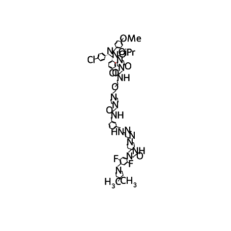 COc1ccc(C2=N[C@@H](c3ccc(Cl)cc3)[C@@H](c3ccc(Cl)cc3)N2C(=O)N2CCN(CC(=O)NCCOCCN3CCN(CC(=O)NCc4cccc(CNc5cc(N6CCC7(CC6)CN(c6cc(F)c(CN8CCC(C)(C)CC8)cc6F)CC(=O)N7)ncn5)c4)CC3)C(=O)C2)c(OC(C)C)c1